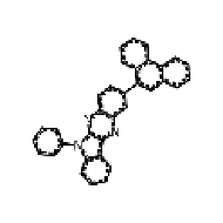 c1ccc(-n2c3ccccc3c3nc4cc(-c5cc6ccccc6c6ccccc56)ccc4nc32)cc1